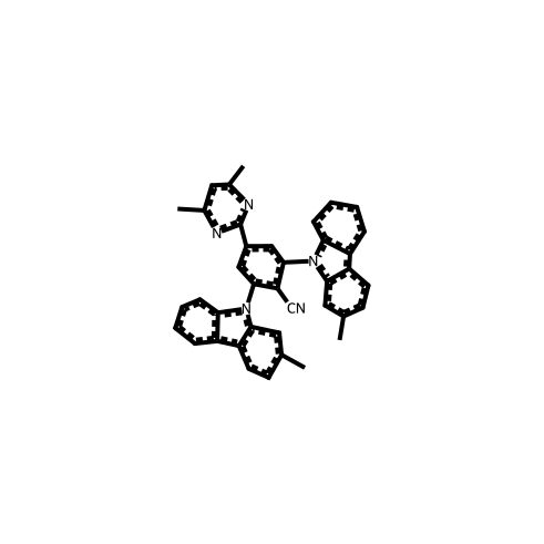 Cc1ccc2c3ccccc3n(-c3cc(-c4nc(C)cc(C)n4)cc(-n4c5ccccc5c5ccc(C)cc54)c3C#N)c2c1